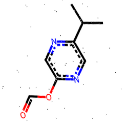 CC(C)c1cnc(OC=O)cn1